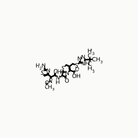 CON=C(C(=O)N[C@@H]1C(=O)N2C(C(=O)O)=C(CSc3nnc(C(C)(C)C)[nH]3)CS[C@@H]12)c1csc(N)n1